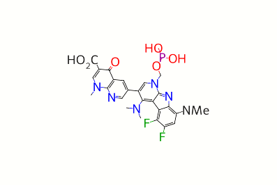 CNc1cc(F)c(F)c2c3c(N(C)C)c(-c4cnc5c(c4)c(=O)c(C(=O)O)cn5C)cn(COP(O)O)c-3nc12